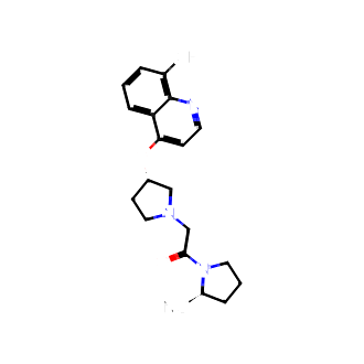 N#C[C@@H]1CCCN1C(=O)CN1CC[C@H](Oc2ccnc3c(C(F)(F)F)cccc23)C1